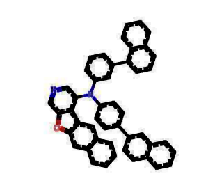 c1cc(-c2cccc3ccccc23)cc(N(c2ccc(-c3ccc4ccccc4c3)cc2)c2cncc3oc4cc5ccccc5cc4c23)c1